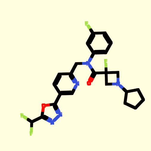 O=C(N(Cc1ccc(-c2nnc(C(F)F)o2)cn1)c1cccc(F)c1)C1(F)CN(C2CCCC2)C1